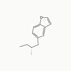 CC[C@@H](C)Cc1ccc2occc2c1